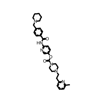 Cc1cccc(CCN2CCN(C(=O)Oc3ccc(NC(=O)c4ccc(CN5CCCCC5)cc4)nc3)CC2)n1